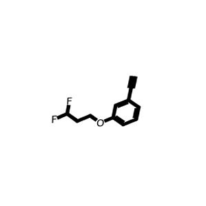 C#Cc1cccc(OCCC(F)F)c1